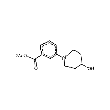 COC(=O)c1cccc(N2CCC(O)CC2)c1